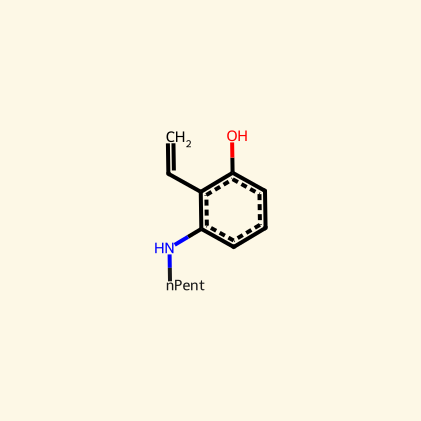 C=Cc1c(O)cccc1NCCCCC